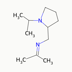 CC(C)=NCC1CCCN1C(C)C